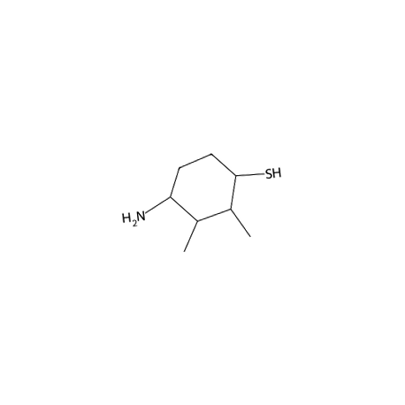 CC1C(N)CCC(S)C1C